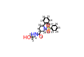 CC(C)(O)CNC(=O)C1CCC(c2ccccc2)N(S(=O)(=O)c2ccccc2)C1